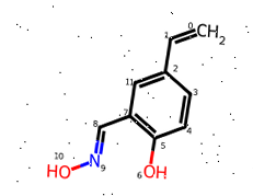 C=Cc1ccc(O)c(/C=N/O)c1